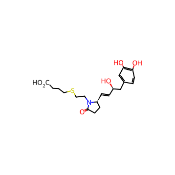 O=C(O)CCCSCCN1C(=O)CC[C@@H]1/C=C/[C@@H](O)Cc1ccc(O)c(O)c1